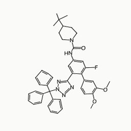 COc1ccc(-c2c(F)cc(NC(=O)N3CCC(C(C)(C)C)CC3)cc2-c2nnn(C(c3ccccc3)(c3ccccc3)c3ccccc3)n2)cc1OC